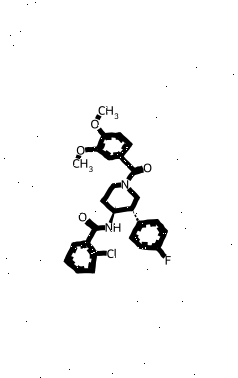 COc1ccc(C(=O)N2CC[C@H](NC(=O)c3ccccc3Cl)[C@@H](c3ccc(F)cc3)C2)cc1OC